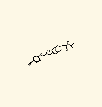 CC(C)NC(=O)CN1CC2CC(C1)CN(CC(O)COc1ccc(C#N)cc1)C2